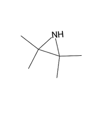 CC1(C)NC1(C)C